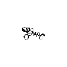 C=CC(=O)OC(C)C(C)(C)C(=O)OC1(C2CCCCC2)C2CC3CC(C2)CC1C3